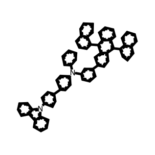 c1ccc(N(c2ccc(-c3ccc(-n4c5ccccc5c5ccccc54)cc3)cc2)c2cccc(-c3ccc4c(-c5cccc6ccccc56)c5ccccc5c(-c5cccc6ccccc56)c4c3)c2)cc1